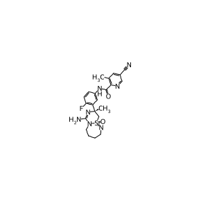 Cc1cc(C#N)cnc1C(=O)Nc1ccc(F)c([C@]2(C)CS3(=O)=NCCCCN3C(N)=N2)c1